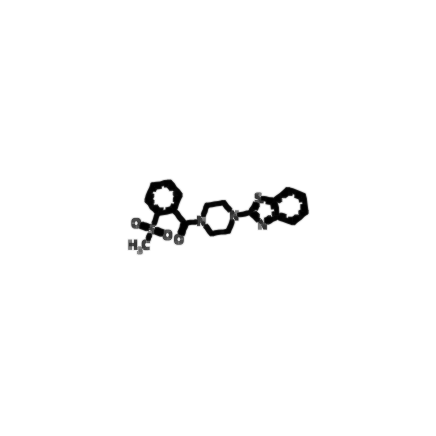 CS(=O)(=O)c1ccccc1C(=O)N1CCN(c2nc3ccccc3s2)CC1